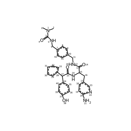 CN(C)C(=O)NCc1ccc(CNC(=O)C(Cc2ccc(N)nc2)NC(=O)C(c2ccccc2)c2ccc(O)cc2)cc1